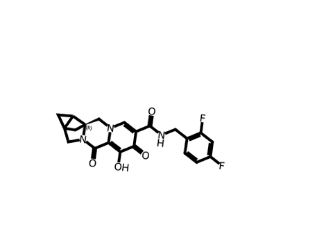 O=C(NCc1ccc(F)cc1F)c1cn2c(c(O)c1=O)C(=O)N1CC34CC3[C@@]1(C2)C4